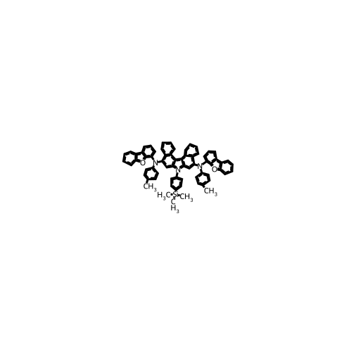 Cc1ccc(N(c2cc3c(c4ccccc24)c2c4ccccc4c(N(c4ccc(C)cc4)c4cccc5c4oc4ccccc45)cc2n3-c2ccc([Si](C)(C)C)cc2)c2cccc3c2oc2ccccc23)cc1